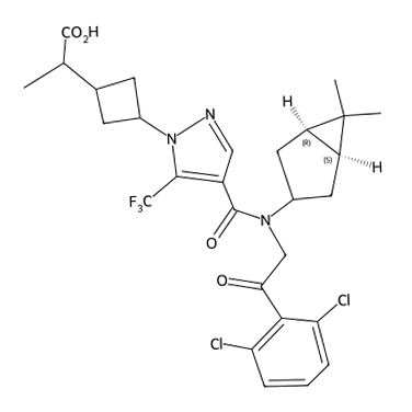 CC(C(=O)O)C1CC(n2ncc(C(=O)N(CC(=O)c3c(Cl)cccc3Cl)C3C[C@@H]4[C@H](C3)C4(C)C)c2C(F)(F)F)C1